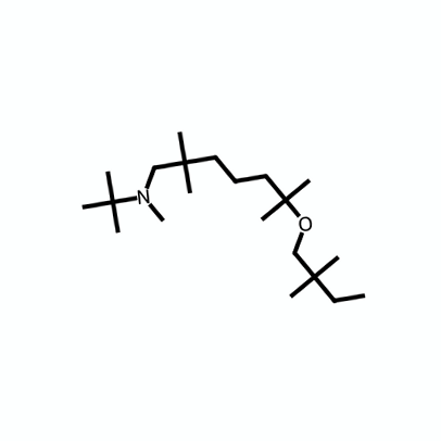 CCC(C)(C)COC(C)(C)CCCC(C)(C)CN(C)C(C)(C)C